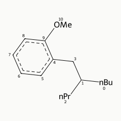 CCCCC(CCC)Cc1ccccc1OC